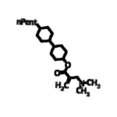 C=C(CN(C)C)C(=O)OC1CCC(C2CCC(CCCCC)CC2)CC1